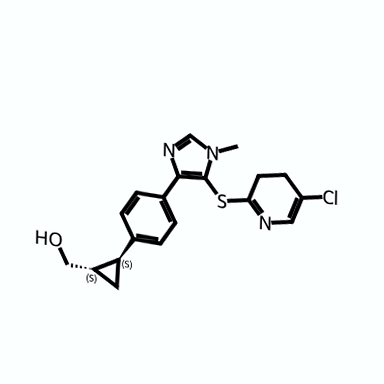 Cn1cnc(-c2ccc([C@H]3C[C@@H]3CO)cc2)c1SC1=NC=C(Cl)CC1